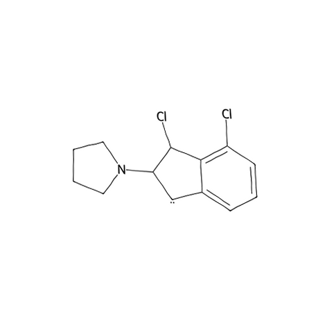 Clc1cccc2c1C(Cl)C(N1CCCC1)[C]2